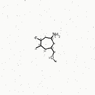 COCC1CC(N)CC(F)C(C)C1